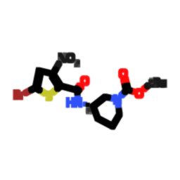 CC(C)(C)OC(=O)N1CCC[C@H](NC(=O)c2sc(Br)cc2[N+](=O)[O-])C1